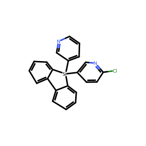 Clc1ccc([Si]2(c3cccnc3)c3ccccc3-c3ccccc32)cn1